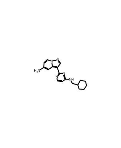 Nc1ccn2ncc(-c3nccc(NCC4CCCCC4)n3)c2c1